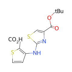 CC(C)(C)OC(=O)c1csc(Nc2ccsc2C(=O)O)n1